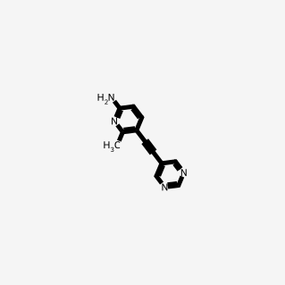 Cc1nc(N)ccc1C#Cc1cncnc1